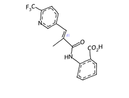 C/C(=C\c1ccc(C(F)(F)F)nc1)C(=O)Nc1ccccc1C(=O)O